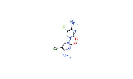 Nc1nc(=O)n(-n2cc(Cl)c(N)nc2=O)cc1F